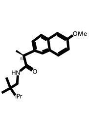 COc1ccc2cc([C@H](C)C(=O)NCC(C)(C)C(C)C)ccc2c1